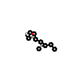 c1ccc(-c2cccc(-c3ccc4c(c3)c3ccc(-c5ccc6c(c5)c5ccccc5n6-c5cccc6c5-c5ccccc5OC6)cc3n4-c3ccccc3)c2)cc1